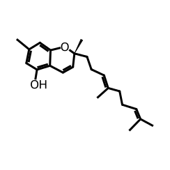 CC(C)=CCC/C(C)=C/CC[C@]1(C)C=Cc2c(O)cc(C)cc2O1